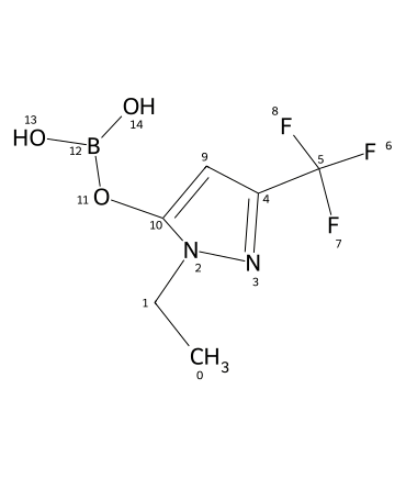 CCn1nc(C(F)(F)F)cc1OB(O)O